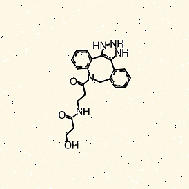 O=C(CCO)NCCC(=O)N1Cc2ccccc2C2=C(NNN2)c2ccccc21